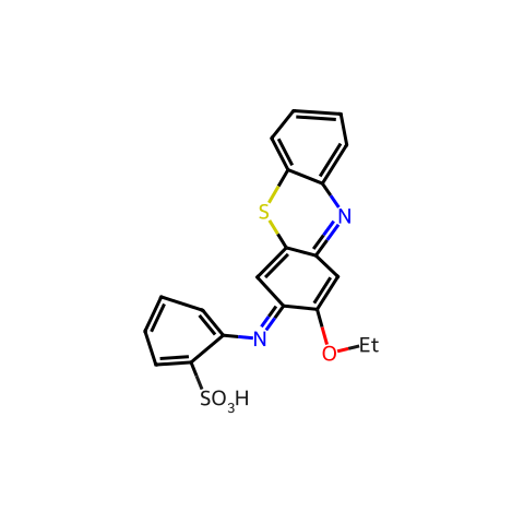 CCOc1cc2nc3ccccc3sc-2c/c1=N\c1ccccc1S(=O)(=O)O